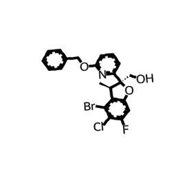 C[C@@H]1c2c(cc(F)c(Cl)c2Br)O[C@]1(CO)c1cccc(OCc2ccccc2)n1